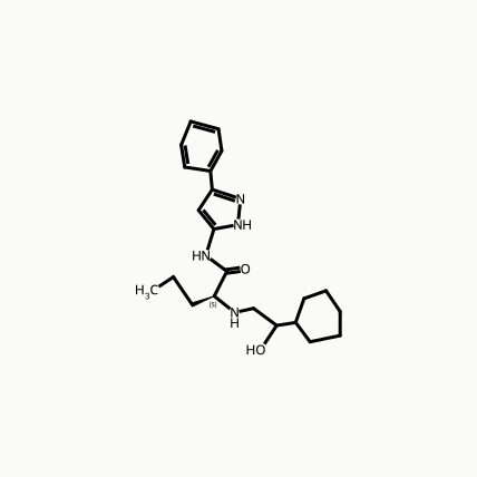 CCC[C@H](NCC(O)C1CCCCC1)C(=O)Nc1cc(-c2ccccc2)n[nH]1